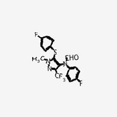 Cn1nc(C(F)(F)F)c(N(C=O)c2ccc(F)cc2)c1Sc1ccc(F)cc1